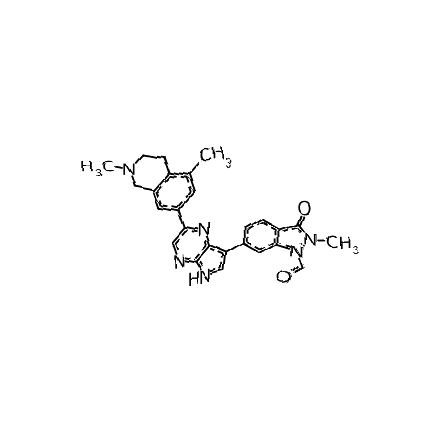 Cc1cc(-c2cnc3[nH]cc(-c4ccc5c(=O)n(C)n(C=O)c5c4)c3n2)cc2c1CCN(C)C2